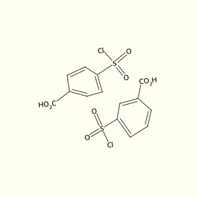 O=C(O)c1ccc(S(=O)(=O)Cl)cc1.O=C(O)c1cccc(S(=O)(=O)Cl)c1